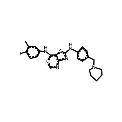 Cc1cc(Nc2ncnc3nc(Nc4ccc(CN5CCCCC5)cc4)sc23)ccc1F